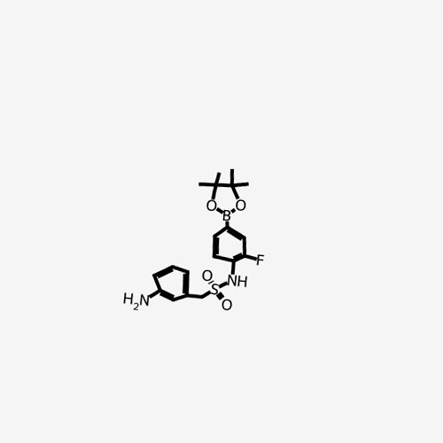 CC1(C)OB(c2ccc(NS(=O)(=O)Cc3cccc(N)c3)c(F)c2)OC1(C)C